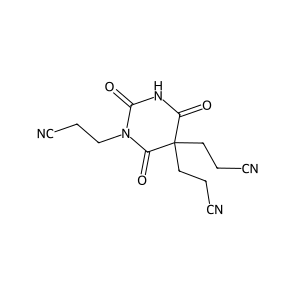 N#CCCN1C(=O)NC(=O)C(CCC#N)(CCC#N)C1=O